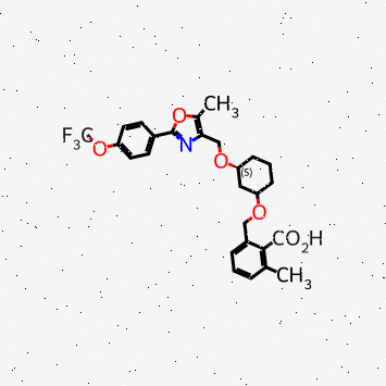 Cc1cccc(COC2CCC[C@H](OCc3nc(-c4ccc(OC(F)(F)F)cc4)oc3C)C2)c1C(=O)O